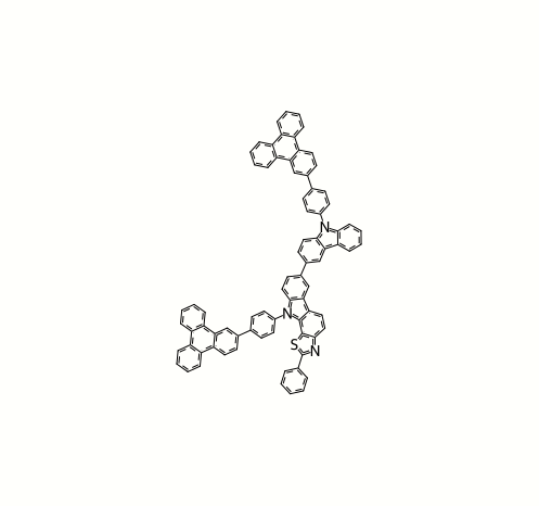 c1ccc(-c2nc3ccc4c5cc(-c6ccc7c(c6)c6ccccc6n7-c6ccc(-c7ccc8c9ccccc9c9ccccc9c8c7)cc6)ccc5n(-c5ccc(-c6ccc7c8ccccc8c8ccccc8c7c6)cc5)c4c3s2)cc1